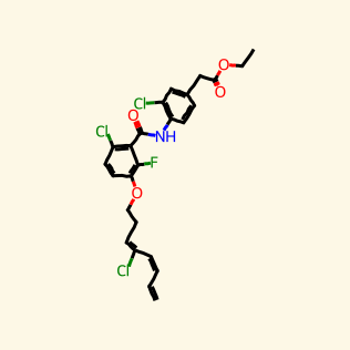 C=C/C=C\C(Cl)=C/CCOc1ccc(Cl)c(C(=O)Nc2ccc(CC(=O)OCC)cc2Cl)c1F